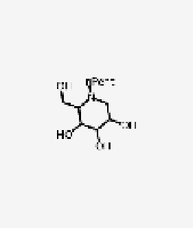 CCCCCN1CC(O)C(O)C(O)C1CO